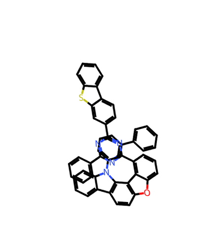 c1ccc(-c2cccc(-n3c4ccccc4c4ccc5oc6cccc(-c7nc(-c8ccccc8)nc(-c8ccc9c(c8)sc8ccccc89)n7)c6c5c43)c2)cc1